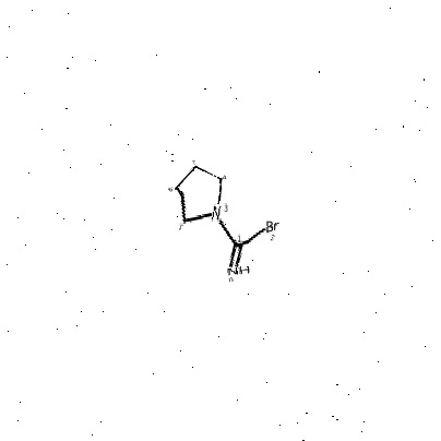 N=C(Br)N1CCCC1